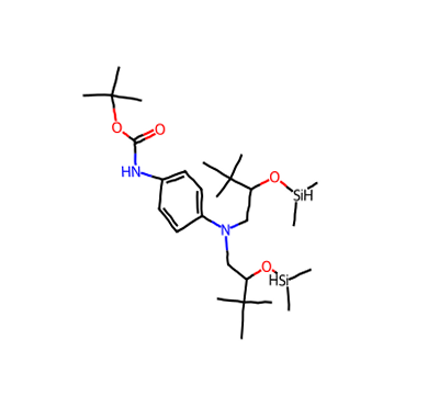 C[SiH](C)OC(CN(CC(O[SiH](C)C)C(C)(C)C)c1ccc(NC(=O)OC(C)(C)C)cc1)C(C)(C)C